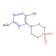 CNc1ncc(C#N)c(N2CCS(=O)(=O)CC2)n1